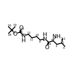 CC(C)C[C@H](N)C(=O)NCCCCNC(=O)OC(C)(C)C